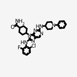 NC(=O)C1CCC(n2c(Nc3c(F)cccc3Cl)nc3cnc(NC4CCN(c5ccccc5)CC4)nc32)CC1